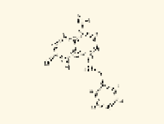 O=c1ccc2c(O)ccc(OCc3ccccc3)c2[nH]1